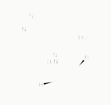 Cl.NC1[C@@H]2CC[C@H]1CN(c1ccnnc1)C2